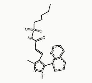 CCCCCS(=O)(=O)NC(=O)/C=C/c1c(C)nn(C)c1-c1cccc2cccnc12